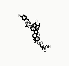 CC(=O)O[C@H](CNCc1ccc(F)cc1)C12CC[C@]3(C)[C@H](CC[C@@H]4[C@@]5(C)CC[C@H](OC(=O)CC(C)(C)C(=O)O)C6(C)C[C@]65CC[C@]43C)C1=C(C(C)C)C(=O)C2